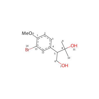 COc1ccc(C(CO)C(C)(C)O)cc1Br